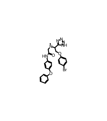 CN(CC(=O)Nc1ccc(Oc2ccccc2)cc1)C(COc1ccc(Br)cc1)c1nnn[nH]1